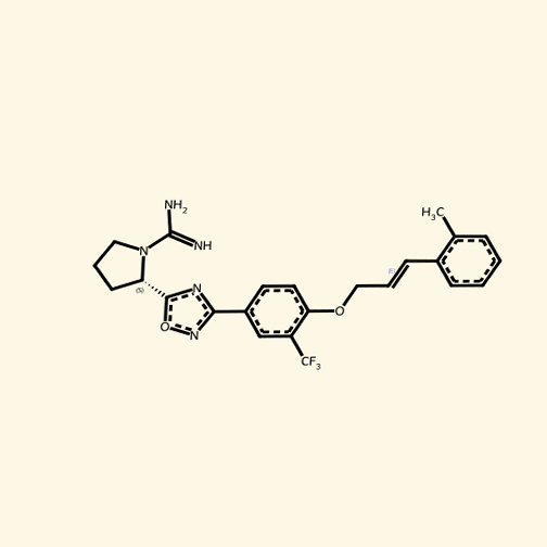 Cc1ccccc1/C=C/COc1ccc(-c2noc([C@@H]3CCCN3C(=N)N)n2)cc1C(F)(F)F